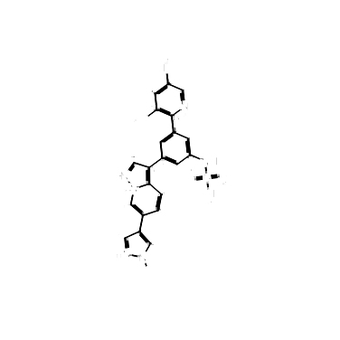 Cn1cc(-c2ccc3c(-c4cc(NS(C)(=O)=O)cc(-c5ncc(F)cc5F)c4)cnn3c2)cn1